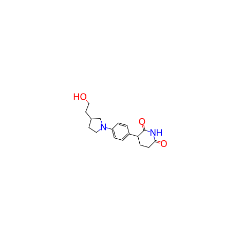 O=C1CCC(c2ccc(N3CCC(CCO)C3)cc2)C(=O)N1